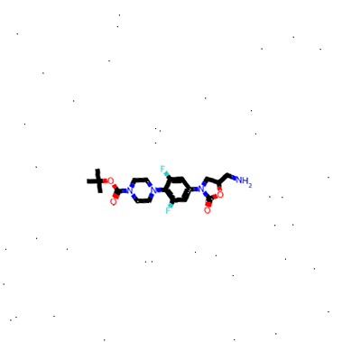 CC(C)(C)OC(=O)N1CCN(c2c(F)cc(N3CC(CN)OC3=O)cc2F)CC1